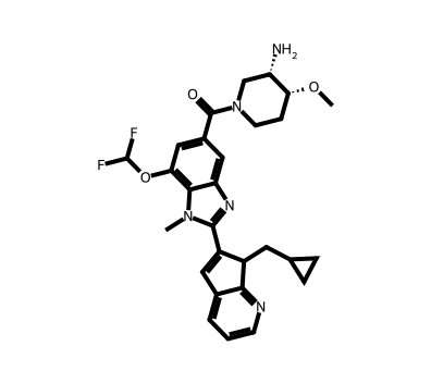 CO[C@@H]1CCN(C(=O)c2cc(OC(F)F)c3c(c2)nc(C2=Cc4cccnc4C2CC2CC2)n3C)C[C@@H]1N